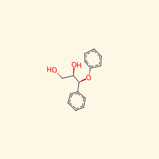 OC[C@@H](O)[C@@H](Oc1ccccc1)c1ccccc1